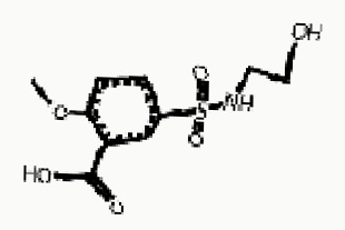 COc1ccc(S(=O)(=O)NCCO)cc1C(=O)O